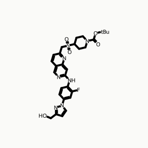 CC(C)(C)OC(=O)N1CCC(S(=O)(=O)Cc2ccc3cnc(Nc4ccc(-n5ccc(CO)n5)cc4F)cc3n2)CC1